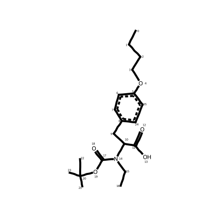 CCCCOc1ccc(CC(C(=O)O)N(CC)C(=O)OC(C)(C)C)cc1